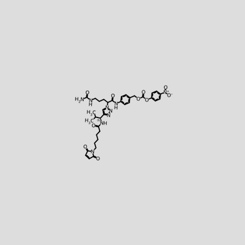 CC(C)[C@H](NC(=O)CCCCCN1C(=O)C=CC1=O)c1cn(C(CCCNC(N)=O)C(=O)Nc2ccc(COC(=O)Oc3ccc([N+](=O)[O-])cc3)cc2)nn1